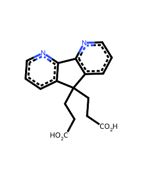 O=C(O)CCC1(CCC(=O)O)c2cccnc2-c2ncccc21